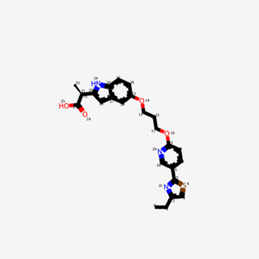 CCc1csc(-c2ccc(OCCCOc3ccc4[nH]c([C@H](C)C(=O)O)cc4c3)nc2)n1